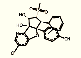 CC1C=CC=CC1[C@@H]1[C@@H](S(C)(=O)=O)[C@@H](O)[C@@]2(O)c3ncc(Cl)cc3O[C@@]12c1ccc(C#N)cc1